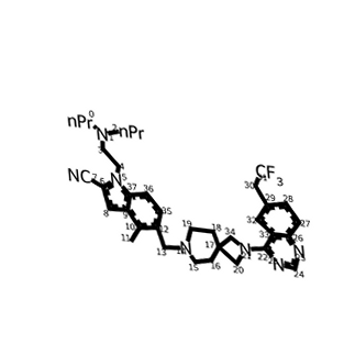 CCCN(CCC)CCn1c(C#N)cc2c(C)c(CN3CCC4(CC3)CN(c3ncnc5ccc(CC(F)(F)F)cc35)C4)ccc21